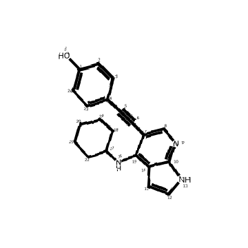 Oc1ccc(C#Cc2cnc3[nH]ccc3c2NC2CCCCC2)cc1